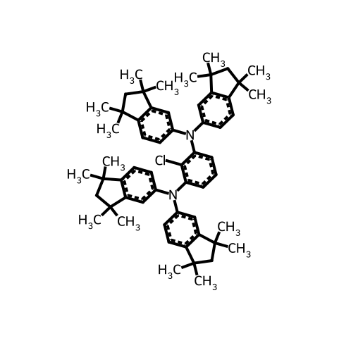 CC1(C)CC(C)(C)c2cc(N(c3ccc4c(c3)C(C)(C)CC4(C)C)c3cccc(N(c4ccc5c(c4)C(C)(C)CC5(C)C)c4ccc5c(c4)C(C)(C)CC5(C)C)c3Cl)ccc21